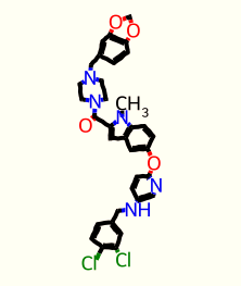 Cn1c(C(=O)N2CCN(Cc3ccc4c(c3)OCO4)CC2)cc2cc(Oc3ccc(NCc4ccc(Cl)c(Cl)c4)cn3)ccc21